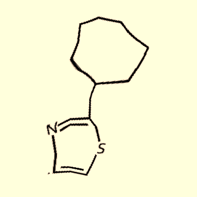 [c]1csc(C2CCCCC2)n1